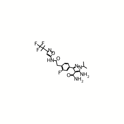 CC(C)n1nc(-c2ccc(CC(=O)Nc3cc(C(C)(C)C(F)(F)F)no3)c(F)c2)c(C(N)=O)c1N